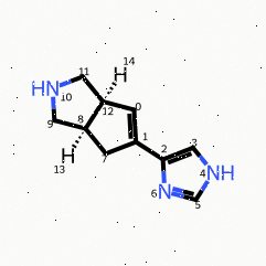 C1=C(c2c[nH]cn2)C[C@H]2CNC[C@@H]12